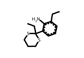 CCc1cccc(C2(CC)SCCCS2)c1N